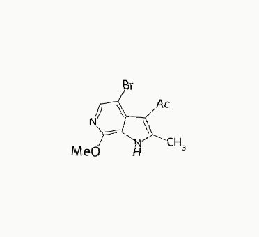 COc1ncc(Br)c2c(C(C)=O)c(C)[nH]c12